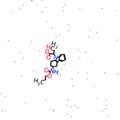 CCCOC(=O)NC1CCc2c(c3ccccc3n2C(CC)C(=O)O)C1